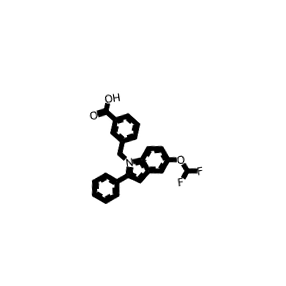 O=C(O)c1cccc(Cn2c(-c3ccccc3)cc3cc(OC(F)F)ccc32)c1